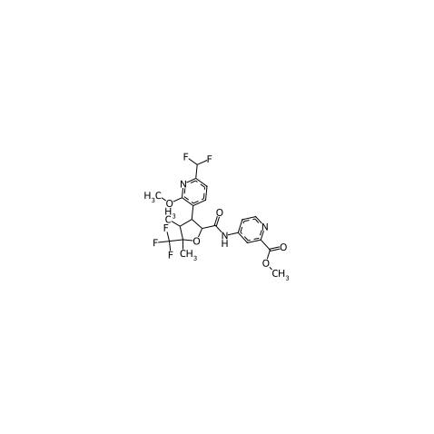 COC(=O)c1cc(NC(=O)C2OC(C)(C(F)(F)F)C(C)C2c2ccc(C(F)F)nc2OC)ccn1